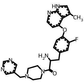 Cc1c[nH]c2nccc(Oc3ccc(CC(N)C(=O)N4CCN(Cc5cncnc5)CC4)cc3F)c12